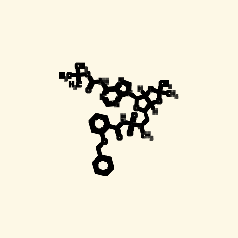 CN(C[C@H]1O[C@@H](n2cnc3c(NC(=O)OC(C)(C)C)ncnc32)[C@@H]2OC(C)(C)O[C@@H]21)S(=O)(=O)NC(=O)c1ccccc1OCc1ccccc1